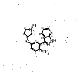 CCN1CCC(Oc2ccc(C(F)(F)F)c(-c3n[nH]c4ncccc34)n2)C1